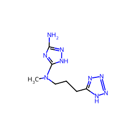 CN(CCCc1nnn[nH]1)c1nc(N)n[nH]1